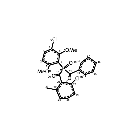 COc1ccc(Cl)c(OC)c1P(=O)(C(=O)c1ccccc1)C(=O)c1c(C)cccc1Cl